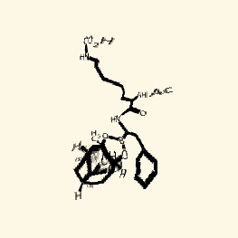 CC(=O)NC(CCCCNC(=O)O)C(=O)NC(Cc1ccccc1)B1O[C@@H]2C[C@@H]3C[C@@H](C3(C)C)[C@]2(C)O1